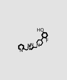 Oc1ccc(F)c(C2CCN(Cc3cn(Cc4ccccn4)nn3)CC2)c1